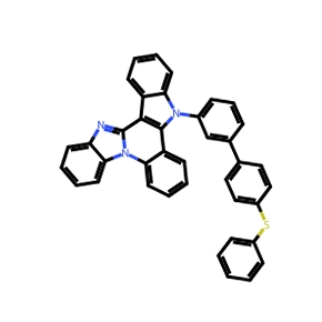 c1ccc(Sc2ccc(-c3cccc(-n4c5ccccc5c5c4c4ccccc4n4c6ccccc6nc54)c3)cc2)cc1